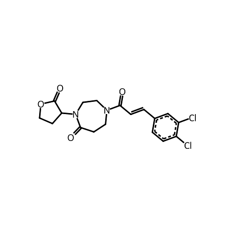 O=C1OCCC1N1CCN(C(=O)/C=C/c2ccc(Cl)c(Cl)c2)CCC1=O